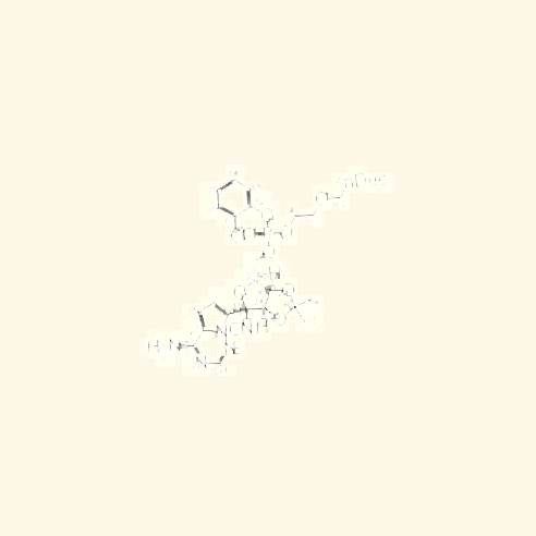 CCCCCCCCCCCOCCOP(=O)(OC[C@H]1O[C@@](C#N)(c2ccc3c(N)ncnn23)[C@@H]2OC(C)(C)O[C@@H]21)Oc1ccccc1Cl